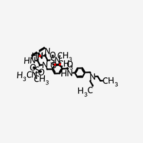 CCCN(CCC)Cc1ccc(NC(=O)c2ccc(CN(C(c3ncc[nH]3)S(=O)(=O)N(C)C)C(c3ncc[nH]3)S(=O)(=O)N(C)C)cc2)cc1